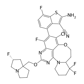 N#Cc1c(N)sc2c(F)ccc(-c3c(Cl)c4c5c(nc(OCC67CCCN6C[C@H](F)C7)nc5c3F)N3CCCC(F)(F)C3CCO4)c12